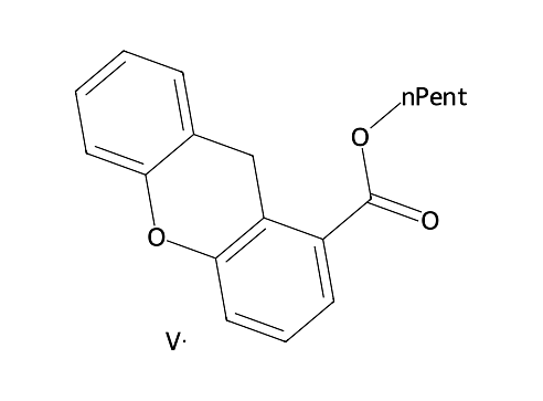 CCCCCOC(=O)c1cccc2c1Cc1ccccc1O2.[V]